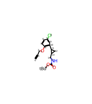 C#CCOc1ccc(Cl)cc1C1CC1CNC(=O)OC(C)(C)C